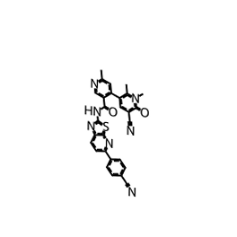 Cc1cc(-c2cc(C#N)c(=O)n(C)c2C)c(C(=O)Nc2nc3ccc(-c4ccc(C#N)cc4)nc3s2)cn1